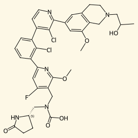 COc1cc(-c2nccc(-c3cccc(-c4cc(F)c(CN(C[C@@H]5CCC(=O)N5)C(=O)O)c(OC)n4)c3Cl)c2Cl)cc2c1CN(CC(C)O)CC2